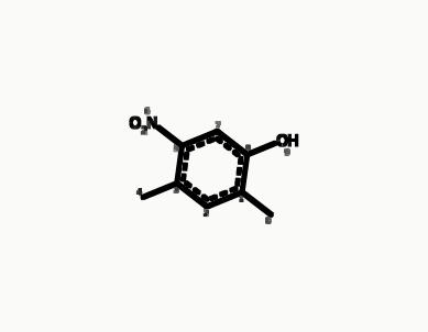 Cc1cc(C)c([N+](=O)[O-])cc1O